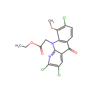 CCOC(=O)Cn1c2nc(Cl)c(Cl)cc2c(=O)c2ccc(Cl)c(SC)c21